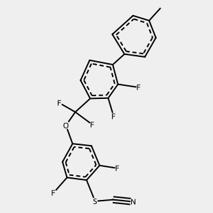 Cc1ccc(-c2ccc(C(F)(F)Oc3cc(F)c(SC#N)c(F)c3)c(F)c2F)cc1